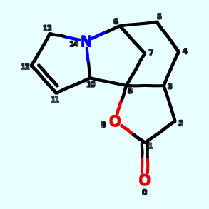 O=C1CC2CCC3CC2(O1)C1C=CCN31